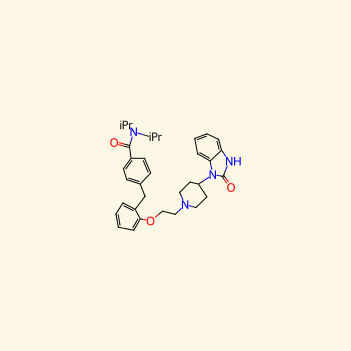 CC(C)N(C(=O)c1ccc(Cc2ccccc2OCCN2CCC(n3c(=O)[nH]c4ccccc43)CC2)cc1)C(C)C